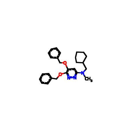 CN(CC1CCCCC1)c1cc(OCc2ccccc2)c(OCc2ccccc2)nn1